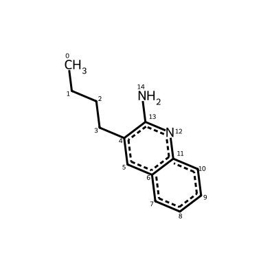 CCCCc1cc2ccccc2nc1N